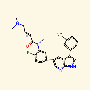 CN(C)C/C=C/C(=O)N(C)c1cc(-c2cnc3[nH]cc(-c4cccc(C#N)c4)c3c2)ccc1F